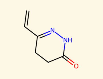 C=CC1=NNC(=O)CC1